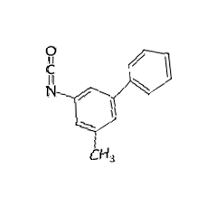 Cc1cc(N=C=O)cc(-c2ccccc2)c1